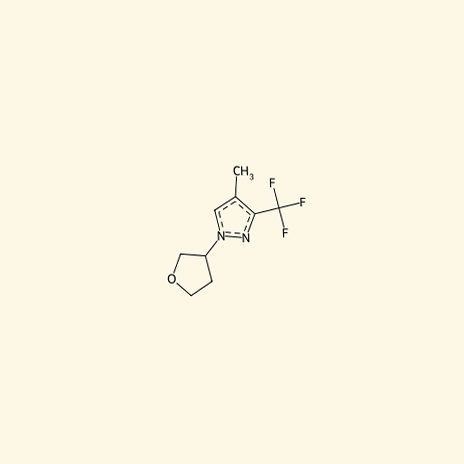 Cc1cn(C2CCOC2)nc1C(F)(F)F